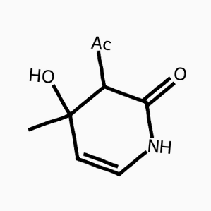 CC(=O)C1C(=O)NC=CC1(C)O